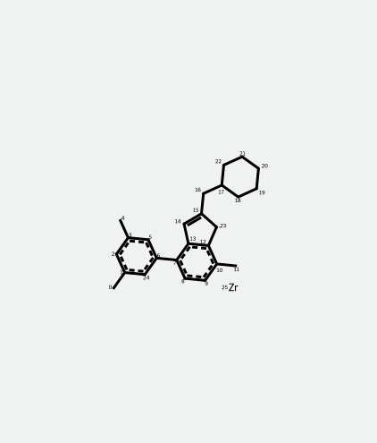 Cc1cc(C)cc(-c2ccc(C)c3c2C=C(CC2CCCCC2)[CH]3)c1.[Zr]